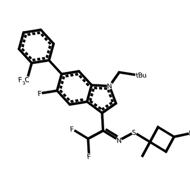 CCC1CC(C)(S/N=C(\c2cn(CC(C)(C)C)c3cc(-c4ccccc4C(F)(F)F)c(F)cc23)C(F)F)C1